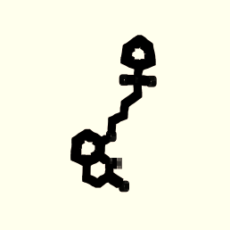 O=C1CCc2cccc(OCCCCS(=O)(=O)c3ccccc3)c2N1